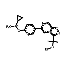 CCOC(F)(F)c1nnc2cnc(-c3ccc(O[C@H](C4CC4)C(F)(F)F)nc3)cn12